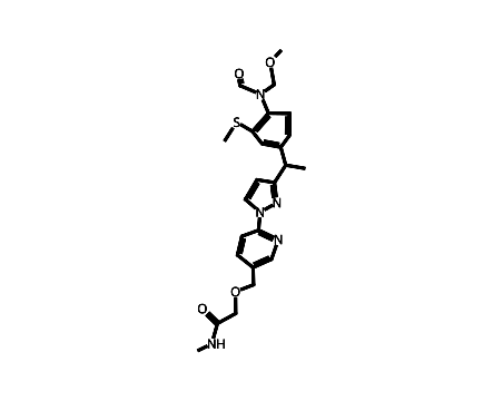 CNC(=O)COCc1ccc(-n2ccc(C(C)c3ccc(N(C=O)COC)c(SC)c3)n2)nc1